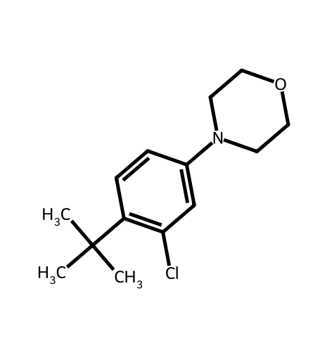 CC(C)(C)c1ccc(N2CCOCC2)cc1Cl